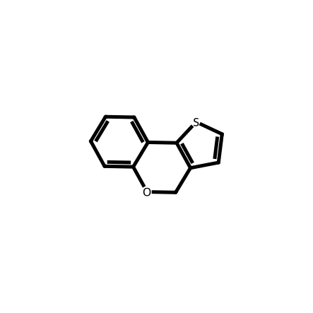 c1ccc2c(c1)OCc1ccsc1-2